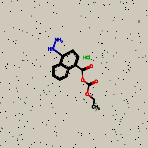 CCOC(=O)OC(=O)c1ccc(NN)c2ccccc12.Cl